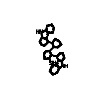 [SiH3]c1cccc(-c2ccccc2-c2cccc3[nH]c4ccccc4c23)c1-c1cccc2[nH]c3ccccc3c12